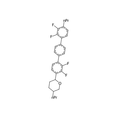 CCCc1ccc(-c2ccc(-c3ccc(C4CCC(CCC)CO4)c(F)c3F)cc2)c(F)c1F